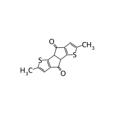 Cc1cc2c(s1)C1C(=O)c3cc(C)sc3C1C2=O